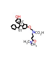 CCC(=C(c1ccc(O)cc1)c1ccc(OCCN(CC=CC(=O)N(C)C)C(=O)O)cc1C)c1ccccc1